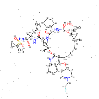 C=C[C@@H]1C[C@]1(NC(=O)[C@@H]1C[C@@H]2CN1C(=O)[C@H](C1CCCCC1)NC(=O)O[C@@H]1C[C@H]1CCCCCc1c(nc3ccccc3c1OC1CCN(CCF)CC1)O2)C(=O)NS(=O)(=O)C1(C)CC1.O=CO